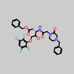 O=C(CN1CCN(Cc2ccccc2)CC1=O)N[C@@H](CC(=O)OCc1ccccc1)C(=O)COc1c(F)c(F)cc(F)c1F